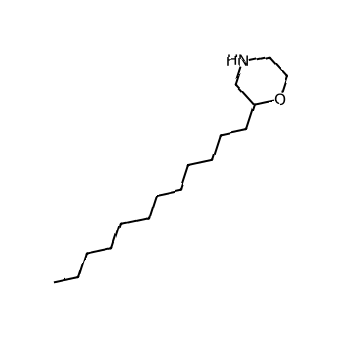 CCCCCCCCCCCCC1CNCCO1